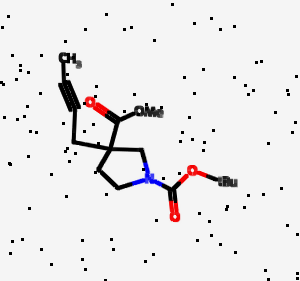 CC#CCC1(C(=O)OC)CCN(C(=O)OC(C)(C)C)C1